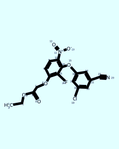 CCOC(=O)COc1ccc([N+](=O)[O-])c(Oc2cc(Cl)cc(C#N)c2)c1F